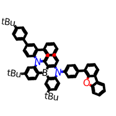 CC(C)(C)c1ccc(-c2ccc(N3c4cc(C(C)(C)C)ccc4B4c5cc(C(C)(C)C)ccc5N(c5ccc(-c6cccc7c6oc6ccccc67)cc5)c5cccc3c54)c(-c3ccccc3)c2)cc1